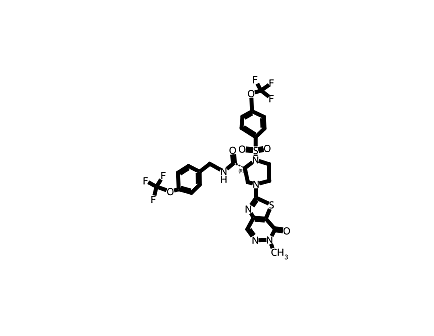 Cn1ncc2nc(N3CCN(S(=O)(=O)c4ccc(OC(F)(F)F)cc4)[C@@H](C(=O)NCc4ccc(OC(F)(F)F)cc4)C3)sc2c1=O